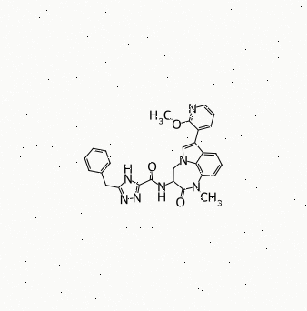 COc1ncccc1-c1cn2c3c(cccc13)N(C)C(=O)C(NC(=O)c1nnc(Cc3ccccc3)[nH]1)C2